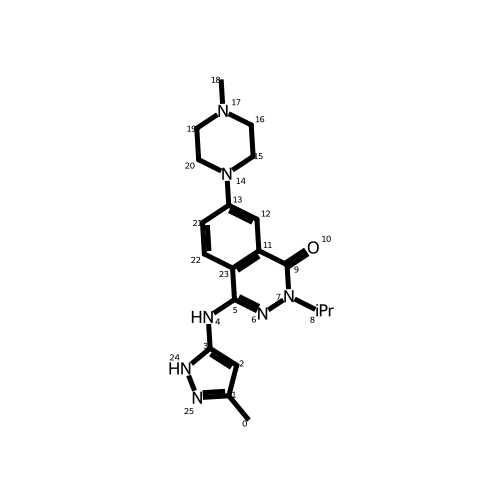 Cc1cc(Nc2nn(C(C)C)c(=O)c3cc(N4CCN(C)CC4)ccc23)[nH]n1